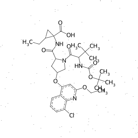 CCOc1cc(OC2CC(C(=O)NC3(C(=O)O)CC3CC)N(C(=O)C(NC(=O)OC(C)(C)C)C(C)(C)C)C2)c2cccc(Cl)c2n1